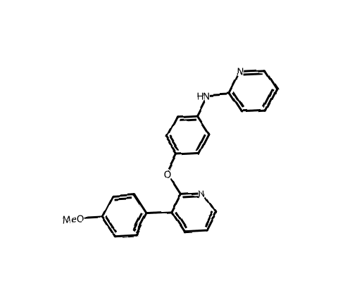 COc1ccc(-c2cccnc2Oc2ccc(Nc3ccccn3)cc2)cc1